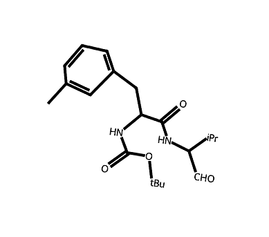 Cc1cccc(CC(NC(=O)OC(C)(C)C)C(=O)NC(C=O)C(C)C)c1